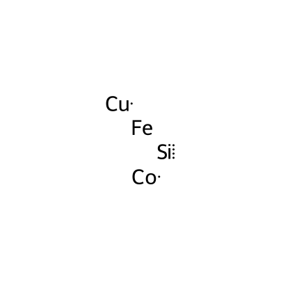 [Co].[Cu].[Fe].[Si]